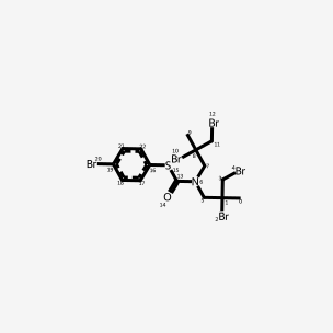 CC(Br)(CBr)CN(CC(C)(Br)CBr)C(=O)Sc1ccc(Br)cc1